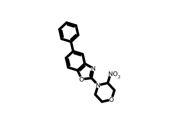 O=[N+]([O-])C1COCCN1c1nc2cc(-c3ccccc3)ccc2o1